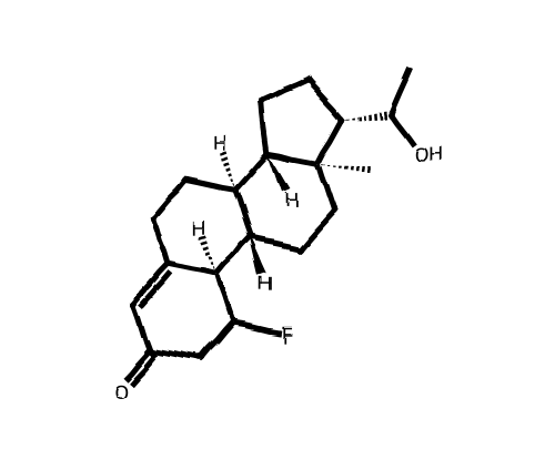 CC(O)[C@H]1CC[C@H]2[C@@H]3CCC4=CC(=O)CC(F)[C@@H]4[C@H]3CC[C@]12C